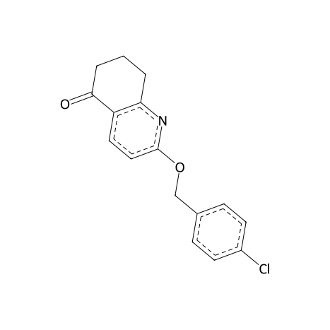 O=C1CCCc2nc(OCc3ccc(Cl)cc3)ccc21